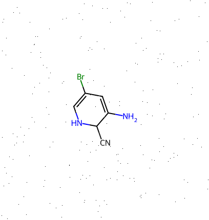 N#CC1NC=C(Br)C=C1N